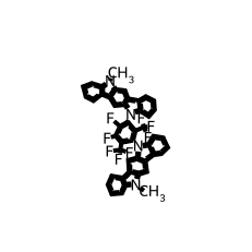 Cn1c2ccccc2c2cc3c(cc21)c1ccccc1n3-c1c(F)c(F)c(C(F)(F)F)c(-n2c3ccccc3c3cc4c(cc32)c2ccccc2n4C)c1C(F)(F)F